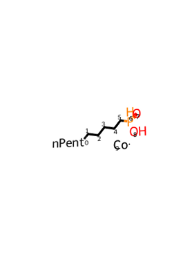 CCCCCCCCCC[PH](=O)O.[Co]